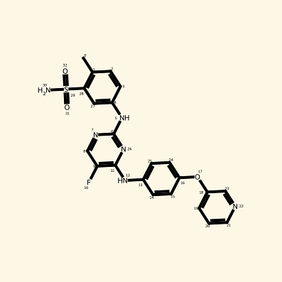 Cc1ccc(Nc2ncc(F)c(Nc3ccc(Oc4cccnc4)cc3)n2)cc1S(N)(=O)=O